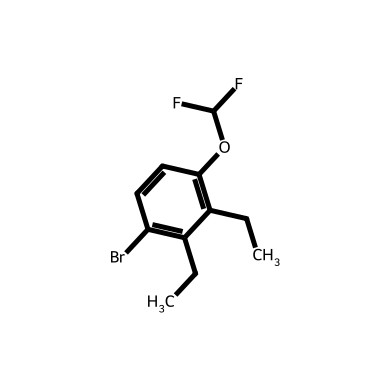 CCc1c(Br)ccc(OC(F)F)c1CC